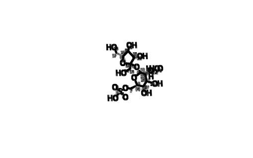 O.O.O=S(=O)(O)OC[C@H]1O[C@H](O[C@]2(CO)O[C@H](CO)[C@@H](O)[C@@H]2O)[C@H](O)[C@@H](O)[C@@H]1O